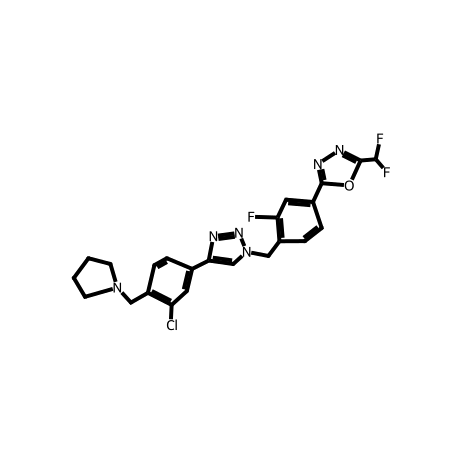 Fc1cc(-c2nnc(C(F)F)o2)ccc1Cn1cc(-c2ccc(CN3CCCC3)c(Cl)c2)nn1